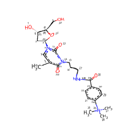 Cc1cn([C@H]2C[C@H](O)[C@@H](CO)O2)c(=O)n(CCCNC(=O)c2ccc([N+](C)(C)C)cc2)c1=O